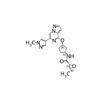 C[C@H]1O[C@@H]1C(=O)N[C@H]1CC[C@@H](Oc2nc(-c3cnn(C)c3)cn3nccc23)C1